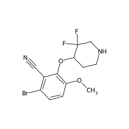 COc1ccc(Br)c(C#N)c1OC1CCNCC1(F)F